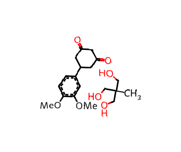 CC(CO)(CO)CO.COc1ccc(C2CC(=O)CC(=O)C2)cc1OC